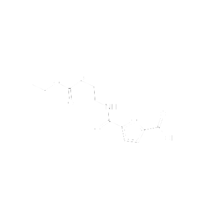 CCOC(=O)[C@H](C)CCNC(=O)c1ccc(C(=O)O)o1